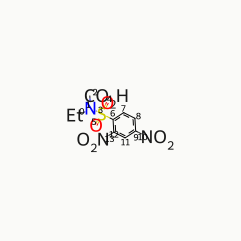 CCN(C(=O)O)S(=O)(=O)c1ccc([N+](=O)[O-])cc1[N+](=O)[O-]